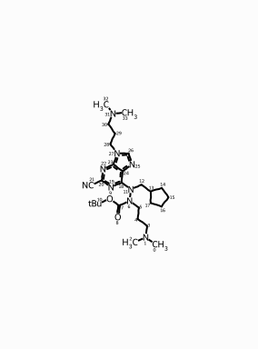 CN(C)CCCN(C(=O)OC(C)(C)C)N(CC1CCCC1)c1nc(C#N)nc2c1ncn2CCCN(C)C